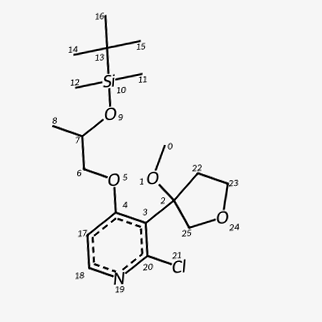 COC1(c2c(OCC(C)O[Si](C)(C)C(C)(C)C)ccnc2Cl)CCOC1